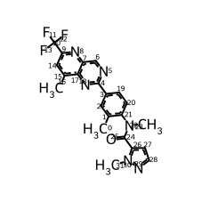 Cc1cc(-c2ncc3nc(C(F)(F)F)cc(C)c3n2)ccc1N(C)C(=O)c1ccnn1C